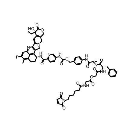 CC[C@@]1(O)C(=O)OCC2=C1C=C1c3nc4cc(F)c(C)c5c4c(c3CN1C2)[C@@H](NC(=O)c1ccc(NC(=O)OCc2ccc(NC(=O)CNC(=O)[C@H](Cc3ccccc3)NC(=O)COC(=O)CNC(=O)CCCCCN3C(=O)C=CC3=O)cc2)cn1)CC5